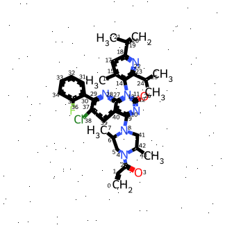 C=CC(=O)N1CC(C)N(c2nc(=O)n(-c3c(C)cc(C(=C)C)nc3C(C)C)c3nc(-c4ccccc4F)c(Cl)cc23)CC1C